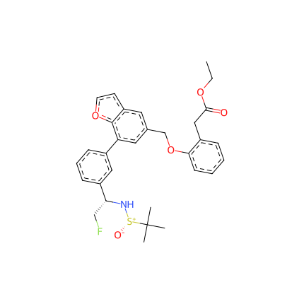 CCOC(=O)Cc1ccccc1OCc1cc(-c2cccc([C@@H](CF)N[S@@+]([O-])C(C)(C)C)c2)c2occc2c1